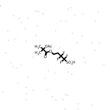 CC(=O)OC(C)(C)C(=O)OCCC(F)(F)C(F)(F)S(=O)(=O)O